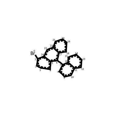 Brc1cccc2c(-c3cccc4ccccc34)c3ccccc3cc12